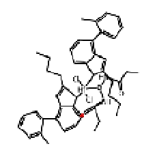 CCCCC1=Cc2c(-c3ccccc3C)cccc2[CH]1[Hf]([Cl])([Cl])([B](NC(=O)CC)NC(=O)CC)[CH]1C(CCCC)=Cc2c(-c3ccccc3C)cccc21